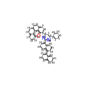 c1ccc(-c2cc(-c3ccc4ccc5ccc6cccc7c6c5c4c3O7)nc(-c3cccc4c(-c5cccc6ccccc56)cccc34)n2)cc1